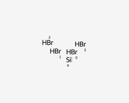 Br.Br.Br.Br.[Si]